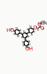 CC(C)(C)OC(=O)COc1ccc(-c2cc(-c3ccc(O)cc3)cc(-c3ccc(O)cc3)c2)cc1